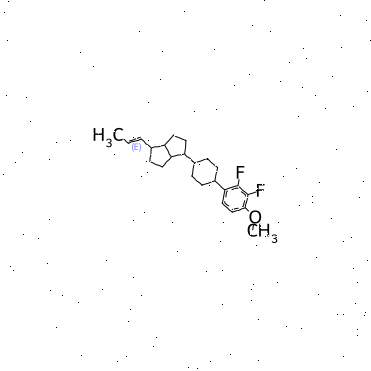 C/C=C/C1CCC2C1CCC2C1CCC(c2ccc(OC)c(F)c2F)CC1